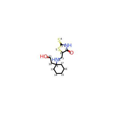 O=C1NC(=S)SC1CNC1(CCO)CCCCC1